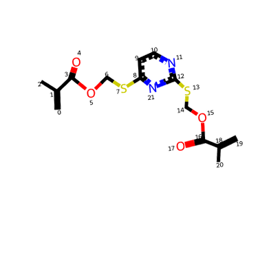 C=C(C)C(=O)OCSc1ccnc(SCOC(=O)C(=C)C)n1